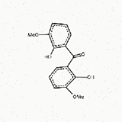 COc1cccc(C(=O)c2cccc(OC)c2O)c1O